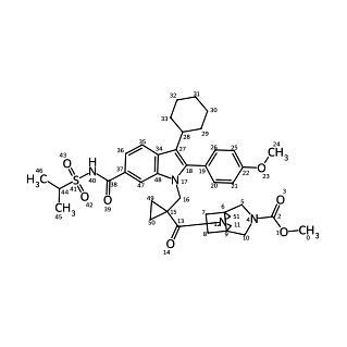 COC(=O)N1CC23CCC2(C1)CN(C(=O)C1(Cn2c(-c4ccc(OC)cc4)c(C4CCCCC4)c4ccc(C(=O)NS(=O)(=O)C(C)C)cc42)CC1)C3